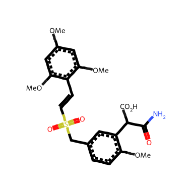 COc1cc(OC)c(C=CS(=O)(=O)Cc2ccc(OC)c(C(C(N)=O)C(=O)O)c2)c(OC)c1